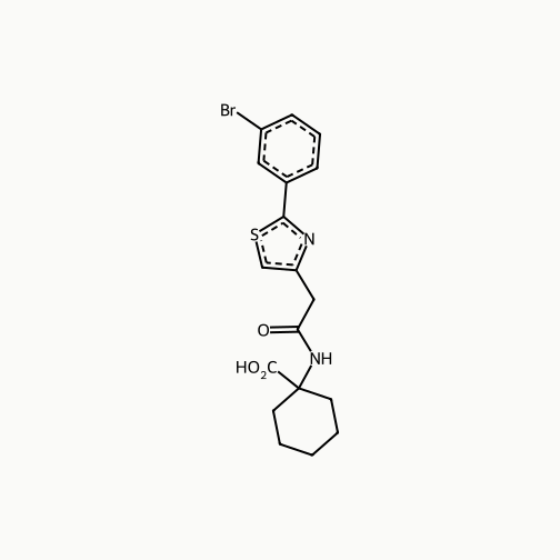 O=C(Cc1csc(-c2cccc(Br)c2)n1)NC1(C(=O)O)CCCCC1